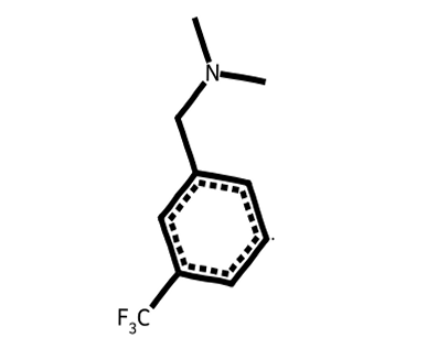 CN(C)Cc1c[c]cc(C(F)(F)F)c1